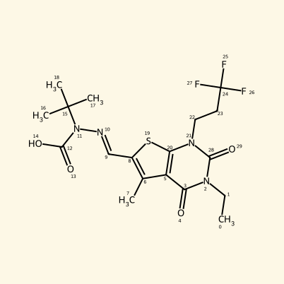 CCn1c(=O)c2c(C)c(C=NN(C(=O)O)C(C)(C)C)sc2n(CCC(F)(F)F)c1=O